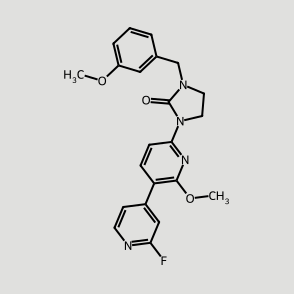 COc1cccc(CN2CCN(c3ccc(-c4ccnc(F)c4)c(OC)n3)C2=O)c1